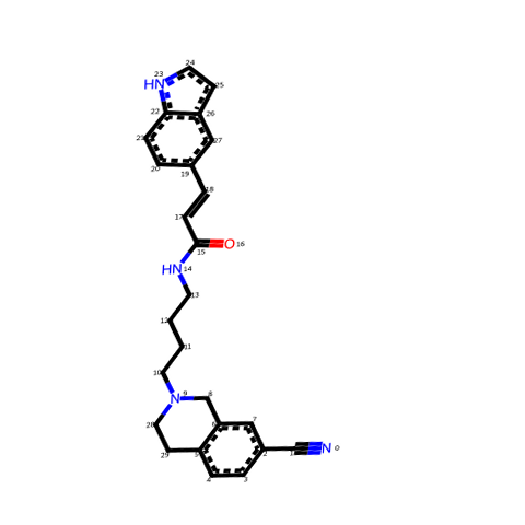 N#Cc1ccc2c(c1)CN(CCCCNC(=O)C=Cc1ccc3[nH]ccc3c1)CC2